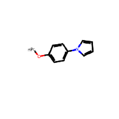 CCCOc1ccc(-n2cccc2)cc1